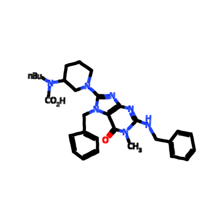 CCCCN(C(=O)O)C1CCCN(c2nc3nc(NCc4ccccc4)n(C)c(=O)c3n2Cc2ccccc2)C1